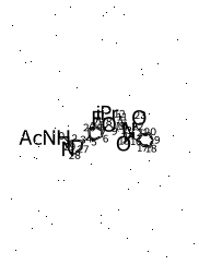 CC(=O)Nc1cc(-c2ccc(OC[C@H](CC(C)C)N3C(=O)c4ccccc4C3=O)c(F)c2)ccn1